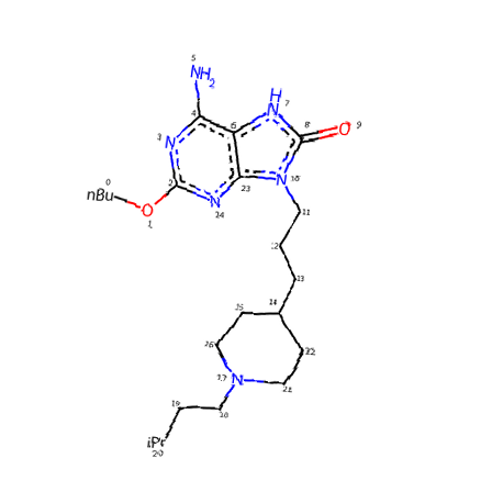 CCCCOc1nc(N)c2[nH]c(=O)n(CCCC3CCN(CCC(C)C)CC3)c2n1